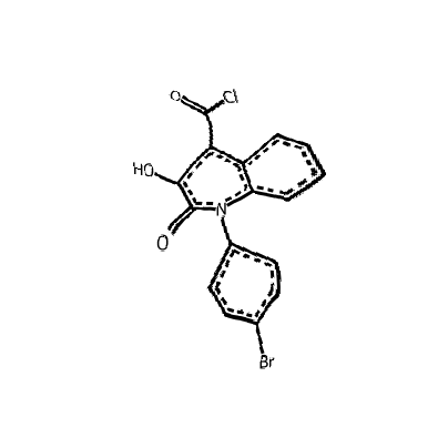 O=C(Cl)c1c(O)c(=O)n(-c2ccc(Br)cc2)c2ccccc12